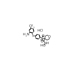 Cl.Nc1cc(C(F)(F)F)ccc1Sc1ccc(S(=O)(=O)C2(C(=O)NO)CCOCC2)cc1